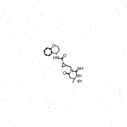 CC(C)[C@]1(C)CC(=O)N(CC2C[C@H]2C(=O)N[C@H]2CCOc3ccccc32)C(=N)N1